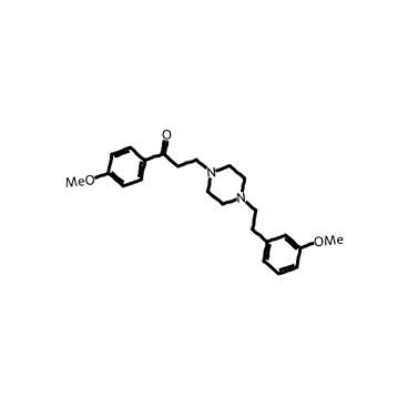 COc1ccc(C(=O)CCN2CCN(CCc3cccc(OC)c3)CC2)cc1